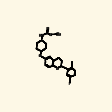 Cc1ccc(F)cc1C1CCc2cc(OC3CCC(NC(=O)OC(C)(C)C)CC3)ccc2O1